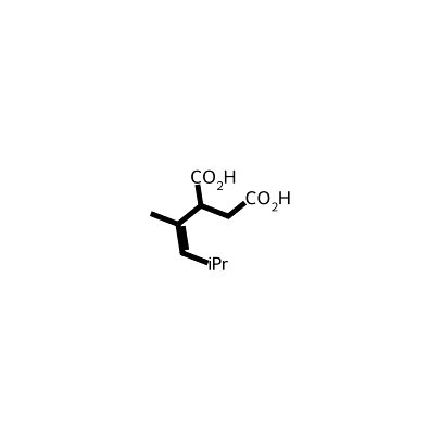 CC(=CC(C)C)C(CC(=O)O)C(=O)O